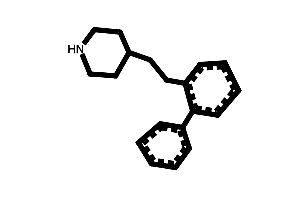 c1ccc(-c2ccccc2CCC2CCNCC2)cc1